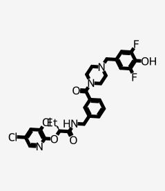 CC[C@@H](Oc1ncc(Cl)cc1Cl)C(=O)NCc1cccc(C(=O)N2CCN(Cc3cc(F)c(O)c(F)c3)CC2)c1